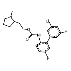 CN1CCCC1CCOC(=O)Nc1ccc(F)cc1-c1cc(F)cc(Cl)c1